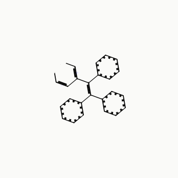 C/C=C\C(=C/C)C(=C(c1ccccc1)c1ccccc1)c1ccccc1